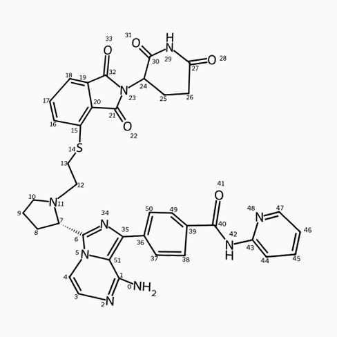 Nc1nccn2c([C@@H]3CCCN3CCSc3cccc4c3C(=O)N(C3CCC(=O)NC3=O)C4=O)nc(-c3ccc(C(=O)Nc4ccccn4)cc3)c12